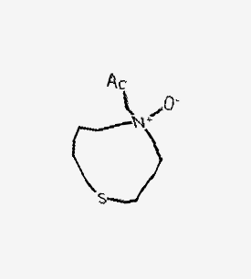 [CH2]C(=O)[N+]1([O-])CCSCC1